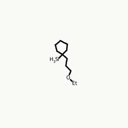 CCOCCCC1([SiH3])CCCCC1